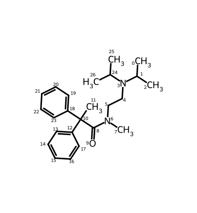 CC(C)N(CCN(C)C(=O)C(C)(c1ccccc1)c1ccccc1)C(C)C